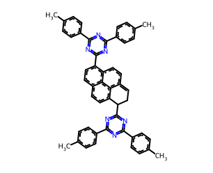 Cc1ccc(-c2nc(-c3ccc(C)cc3)nc(-c3ccc4ccc5c6c(ccc3c46)=CCC5c3nc(-c4ccc(C)cc4)nc(-c4ccc(C)cc4)n3)n2)cc1